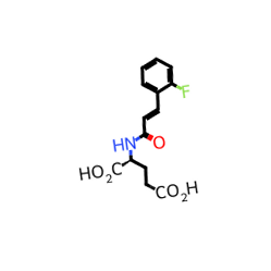 O=C(O)CC[C@H](NC(=O)C=Cc1ccccc1F)C(=O)O